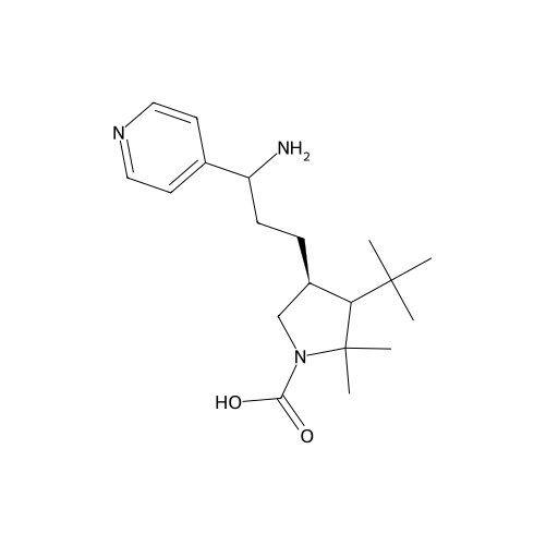 CC(C)(C)C1[C@H](CCC(N)c2ccncc2)CN(C(=O)O)C1(C)C